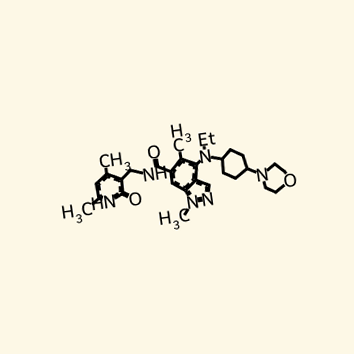 CCN(c1c(C)c(C(=O)NCc2c(C)cc(C)[nH]c2=O)cc2c1cnn2C)C1CCC(N2CCOCC2)CC1